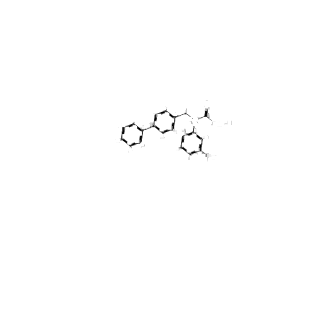 CCCCC(=O)N(Cc1ccc(-c2ccccc2)cc1)c1cccc(Br)c1